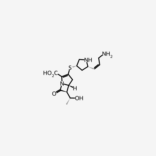 C[C@@H](O)[C@H]1C(=O)N2C(C(=O)O)=C(S[C@@H]3CN[C@H](/C=C\CN)C3)C[C@H]12